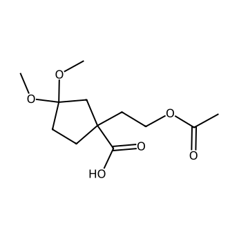 COC1(OC)CCC(CCOC(C)=O)(C(=O)O)C1